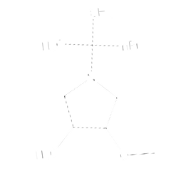 CCCC(C)(C)N1CC(C)C(OI)C1